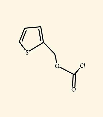 O=C(Cl)OCc1cccs1